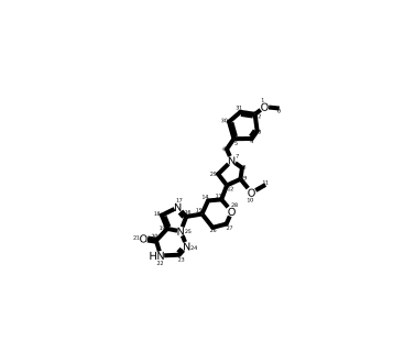 COc1ccc(CN2CC(OC)C(C3CC(c4ncc5c(=O)[nH]cnn45)CCO3)C2)cc1